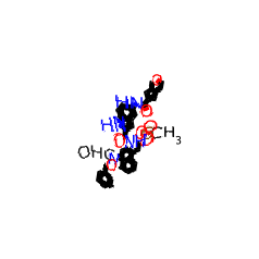 CS(=O)(=O)OCCc1c(NC(=O)c2cc3cc(NC(=O)c4cc5ccocc-5c4)ccc3[nH]2)cc(N(C=O)OCc2ccccc2)c2ccccc12